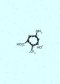 Cl.Nc1ccc(C(F)(F)F)c(C(=O)O)c1